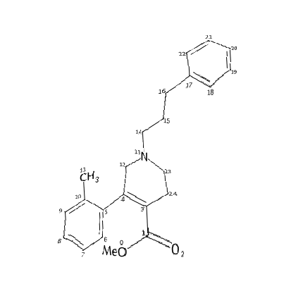 COC(=O)C1=C(c2ccccc2C)CN(CCCc2ccccc2)CC1